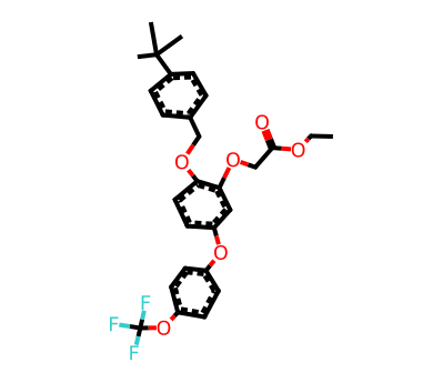 CCOC(=O)COc1cc(Oc2ccc(OC(F)(F)F)cc2)ccc1OCc1ccc(C(C)(C)C)cc1